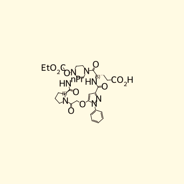 CCCNC(=O)[C@@H]1CCCN1C(=O)COc1cc(C(=O)N[C@@H](CCC(=O)O)C(=O)N2CCN(OC(=O)OCC)CC2)nn1-c1ccccc1